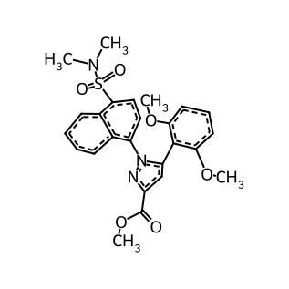 COC(=O)c1cc(-c2c(OC)cccc2OC)n(-c2ccc(S(=O)(=O)N(C)C)c3ccccc23)n1